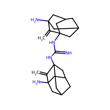 C=C1C2(N)CC3CC(C2)CC1(NC(=N)NC12CC4CC(CC(N)(C4)C1=C)C2)C3